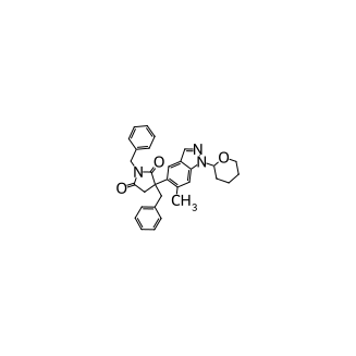 Cc1cc2c(cnn2C2CCCCO2)cc1C1(Cc2ccccc2)CC(=O)N(Cc2ccccc2)C1=O